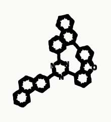 c1ccc(-c2nc(-c3ccc4c(ccc5ccccc54)c3)nc(-c3cccc4oc5ccc(-c6ccc7ccccc7c6)cc5c34)n2)cc1